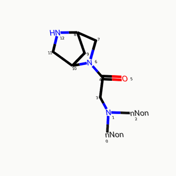 CCCCCCCCCN(CCCCCCCCC)CC(=O)N1CC2CC1CN2